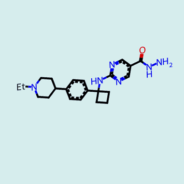 CCN1CCC(c2ccc(C3(Nc4ncc(C(=O)NN)cn4)CCC3)cc2)CC1